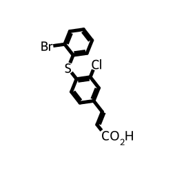 O=C(O)C=Cc1ccc(Sc2ccccc2Br)c(Cl)c1